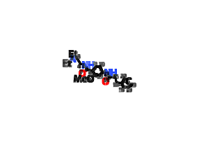 CCN(CC)CCNC(=O)c1ccc(NC(=O)CCc2ccccc2)cc1OC